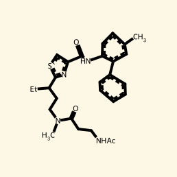 CCC(CCN(C)C(=O)CCNC(C)=O)c1nc(C(=O)Nc2ccc(C)cc2-c2ccccc2)cs1